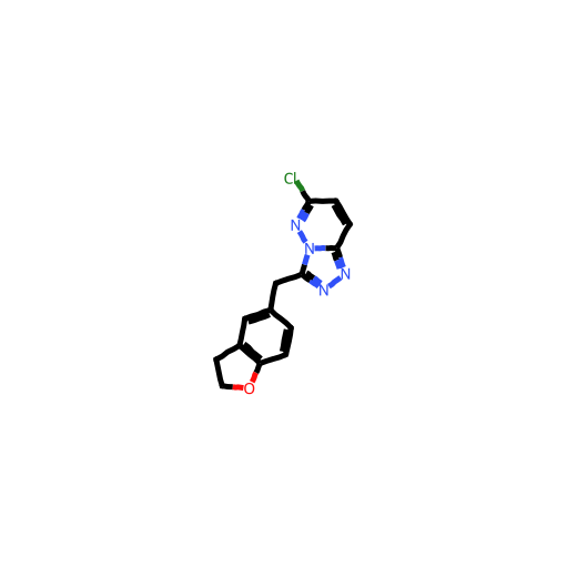 Clc1ccc2nnc(Cc3ccc4c(c3)CCO4)n2n1